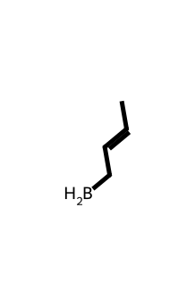 BC/C=C/C